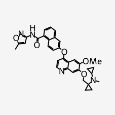 COc1cc2c(Oc3ccc4c(C(=O)Nc5cc(C)on5)cccc4c3)ccnc2cc1OCC1(N(C)C2CC2)CC1